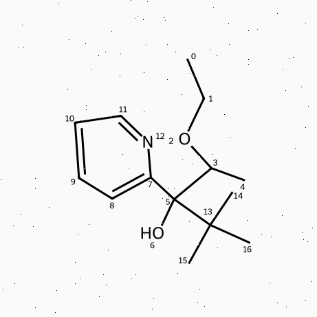 CCOC(C)C(O)(c1ccccn1)C(C)(C)C